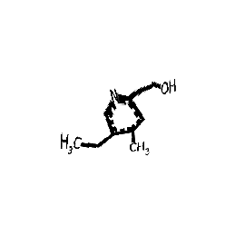 CCc1cnc(CO)cc1C